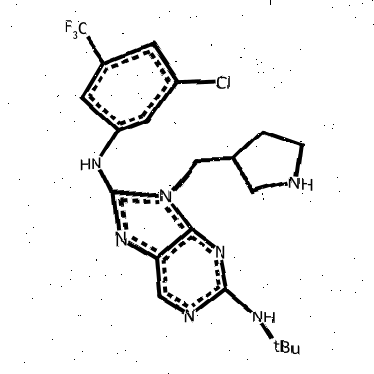 CC(C)(C)Nc1ncc2nc(Nc3cc(Cl)cc(C(F)(F)F)c3)n(CC3CCNC3)c2n1